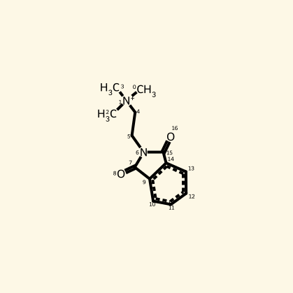 C[N+](C)(C)CCN1C(=O)c2ccccc2C1=O